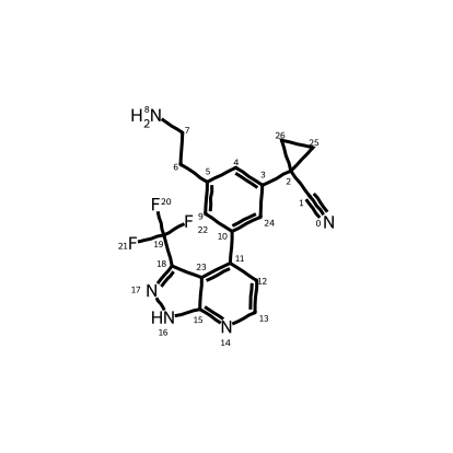 N#CC1(c2cc(CCN)cc(-c3ccnc4[nH]nc(C(F)(F)F)c34)c2)CC1